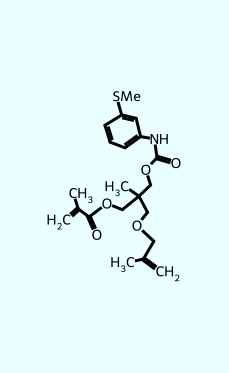 C=C(C)COCC(C)(COC(=O)Nc1cccc(SC)c1)COC(=O)C(=C)C